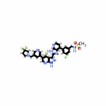 CS(=O)(=O)NCc1cc(F)cc(-c2ccnc3[nH]c(-c4n[nH]c5ncc(-c6cncc(CN7CCC(F)(F)C7)c6)c(F)c45)nc23)c1